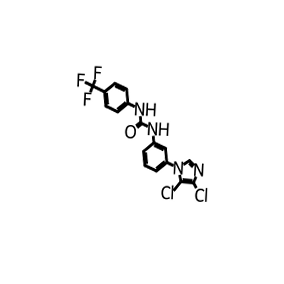 O=C(Nc1ccc(C(F)(F)F)cc1)Nc1cccc(-n2cnc(Cl)c2Cl)c1